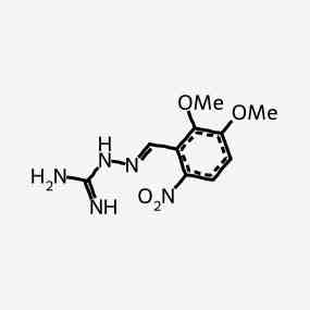 COc1ccc([N+](=O)[O-])c(/C=N/NC(=N)N)c1OC